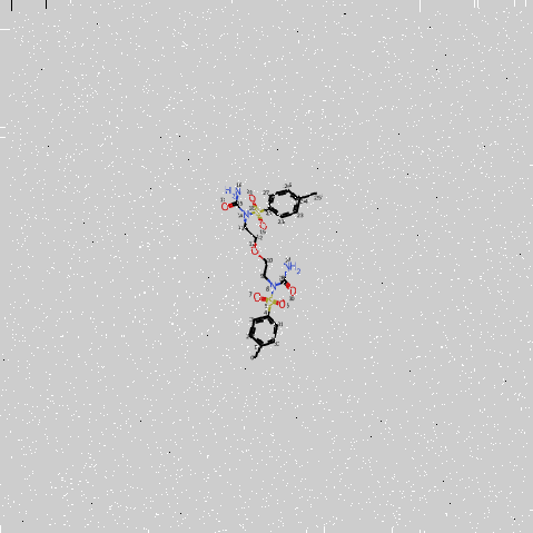 Cc1ccc(S(=O)(=O)N(CCOCCN(C(N)=O)S(=O)(=O)c2ccc(C)cc2)C(N)=O)cc1